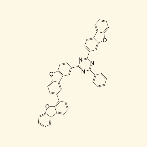 c1ccc(-c2nc(-c3ccc4c(c3)oc3ccccc34)nc(-c3ccc4oc5ccc(-c6cccc7c6oc6ccccc67)cc5c4c3)n2)cc1